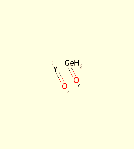 [O]=[GeH2].[O]=[Y]